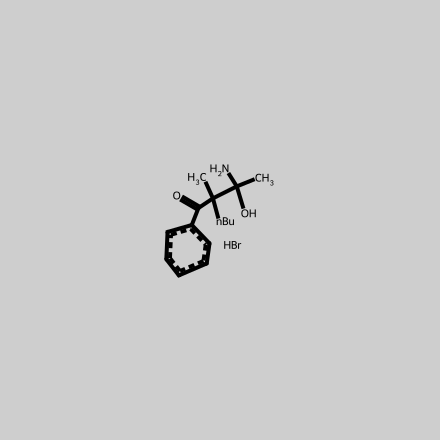 Br.CCCCC(C)(C(=O)c1ccccc1)C(C)(N)O